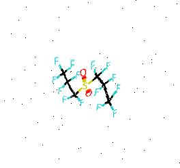 O=S(=O)(C(F)(F)C(F)(F)C(F)(F)F)C(F)(F)C(F)(F)C(F)(F)F